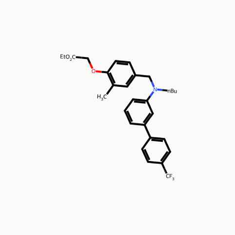 CCCCN(Cc1ccc(OCC(=O)OCC)c(C)c1)c1cccc(-c2ccc(C(F)(F)F)cc2)c1